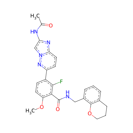 COc1ccc(-c2ccc3nc(NC(C)=O)cn3n2)c(F)c1C(=O)NCc1cccc2c1OCCC2